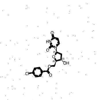 O=C(OC[C@H]1O[C@@H](n2ccc(=O)[nH]c2=O)C[C@@H]1O)c1ccc(Cl)cc1